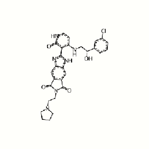 O=C1c2cc3nc(-c4c(NC[C@@H](O)c5cccc(Cl)c5)cc[nH]c4=O)[nH]c3cc2C(=O)N1CCN1CCCC1